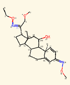 CCO/N=C(\COC)C1CCC2C3CCC4=CC(=NOC)C=CC4(C)C3C(O)CC12C